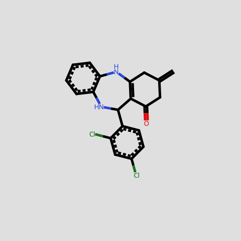 C=C1CC(=O)C2=C(C1)Nc1ccccc1NC2c1ccc(Cl)cc1Cl